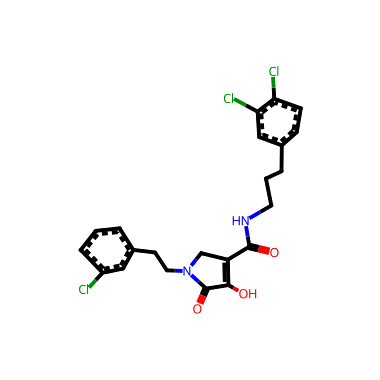 O=C(NCCCc1ccc(Cl)c(Cl)c1)C1=C(O)C(=O)N(CCc2cccc(Cl)c2)C1